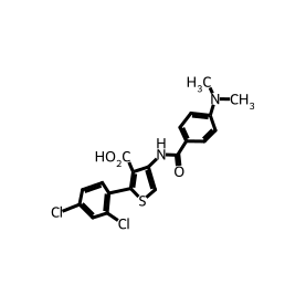 CN(C)c1ccc(C(=O)Nc2csc(-c3ccc(Cl)cc3Cl)c2C(=O)O)cc1